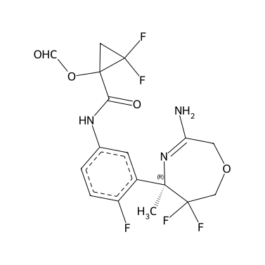 C[C@]1(c2cc(NC(=O)C3(OC=O)CC3(F)F)ccc2F)N=C(N)COCC1(F)F